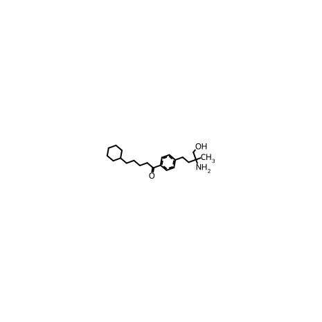 CC(N)(CO)CCc1ccc(C(=O)CCCCC2CCCCC2)cc1